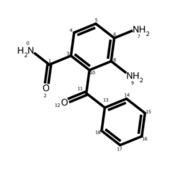 NC(=O)c1ccc(N)c(N)c1C(=O)c1ccccc1